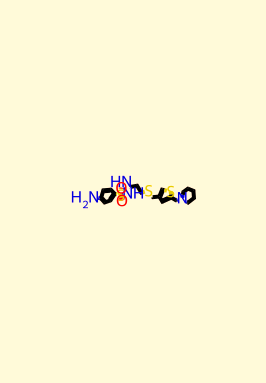 N=C(CCSCc1csc(CN2CCCCC2)c1)NS(=O)(=O)c1ccc(N)cc1